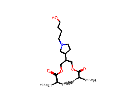 CCCCCCCC(CCCCCCC)C(=O)OCC(COC(=O)C(CCCCCCC)CCCCCCC)C1CCN(CCCCO)C1